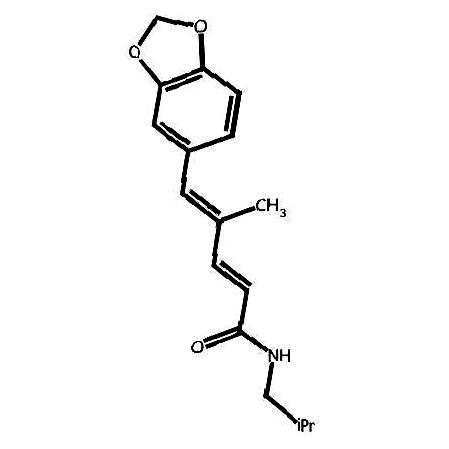 CC(/C=C/C(=O)NCC(C)C)=C\c1ccc2c(c1)OCO2